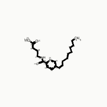 CCCCCCCC/C=C\c1ccc(C(=O)NCCCC(=O)O)nc1